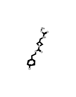 CC(C)(C)OC(=O)NCC1CN(C(=O)OCCc2ccc(Cl)cc2)C1